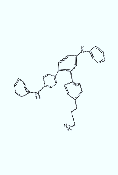 CCCCc1ccc(-c2cc(Nc3ccccc3)ccc2-c2ccc(Nc3ccccc3)cc2)cc1